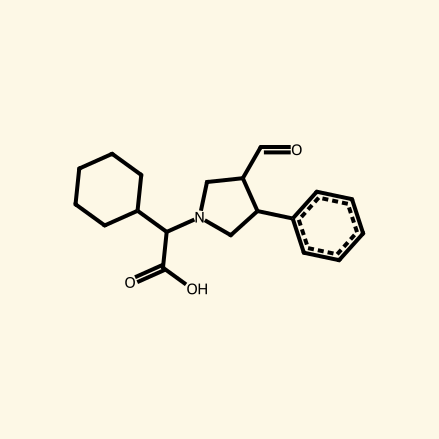 O=CC1CN(C(C(=O)O)C2CCCCC2)CC1c1ccccc1